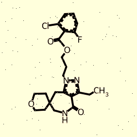 CCc1nn(CCCOC(=O)c2c(F)cccc2Cl)c2c1C(=O)NCC1(CCOCC1)C2